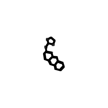 [c]1c(OC2OCCO2)ccc2cc3ccccc3cc12